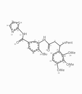 CCCCCC(CC(=O)Nc1cc(C(=O)Nc2nccs2)ccc1C(C)(C)C)c1ccc(OC)c(OC)c1OC